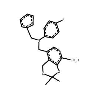 CC1(C)OCc2c(CN(Cc3ccccc3)c3ccc(F)cc3)cnc(C(=O)O)c2O1